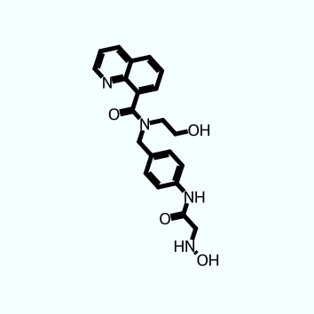 O=C(CNO)Nc1ccc(CN(CCO)C(=O)c2cccc3cccnc23)cc1